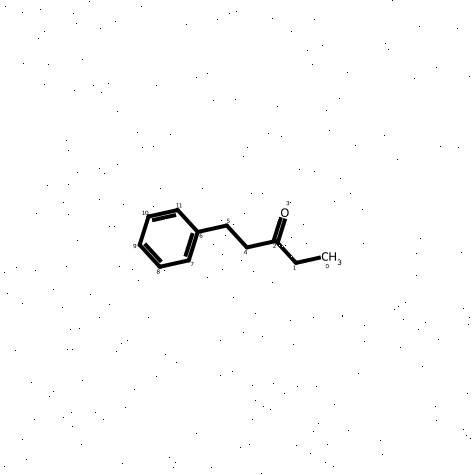 CCC(=O)[CH]Cc1ccccc1